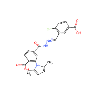 Cc1ccc(C)n1-c1cc(C(=O)N/N=C/c2cc(C(=O)O)ccc2F)ccc1C(=O)O